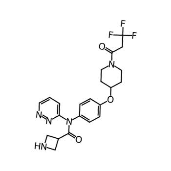 O=C(CC(F)(F)F)N1CCC(Oc2ccc(N(C(=O)C3CNC3)c3cccnn3)cc2)CC1